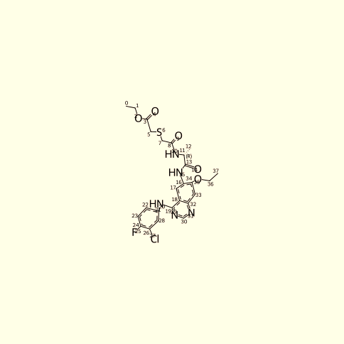 CCOC(=O)CSCC(=O)N[C@H](C)C(=O)Nc1cc2c(Nc3ccc(F)c(Cl)c3)ncnc2cc1OCC